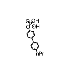 CCCc1ccc(-c2ccc(OP(=O)(O)O)cc2)cc1